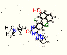 CN(C)C12CC1(COc1nc(N3CC4CCC(C3)N4)c3cc(Cl)c(-c4cc(O)cc5ccccc45)c(F)c3n1)C2